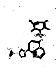 Cc1cc(C)c(C)c(S(=O)(=O)Nc2ccc(N3CC[C@H](C(=O)O)C3)c3ccccc23)c1C